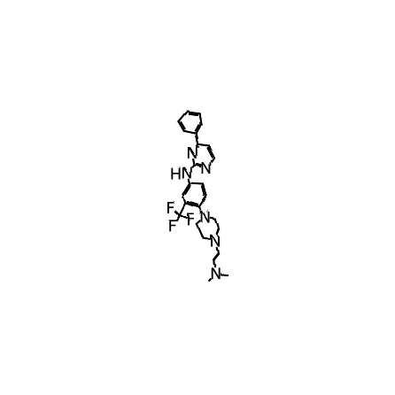 CN(C)CCN1CCN(c2ccc(Nc3nccc(-c4ccccc4)n3)cc2C(F)(F)F)CC1